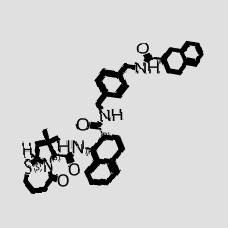 CC1(C)C[C@@H]2SCCCC(=O)N2[C@@H]1C(=O)N[C@H]1c2ccccc2CC[C@H]1C(=O)NCc1ccc(CNC(=O)[C@@H]2CCc3ccccc3C2)cc1